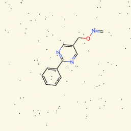 C=NOCc1cnc(-c2ccccc2)nc1